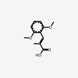 COc1cccc(OC)c1C=C(C)C(=O)O